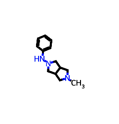 CN1CC2CN(Nc3ccccc3)CC2C1